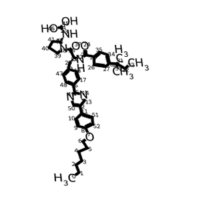 CCCCCCCOc1ccc(-c2cnc(-c3ccc(C[C@H](NC(=O)c4ccc(C(C)(C)CC)cc4)C(=O)N4CCC[C@H]4NC(O)O)cc3)nc2)cc1